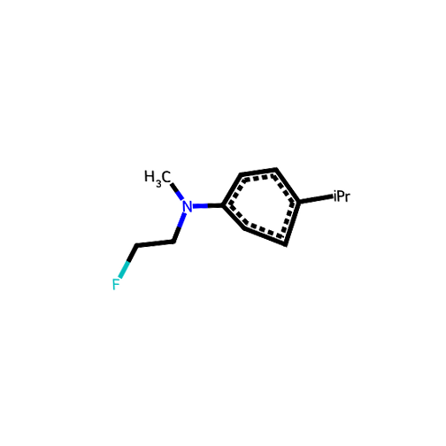 CC(C)c1ccc(N(C)CCF)cc1